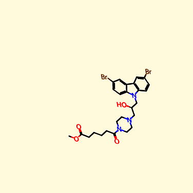 COC(=O)CCCCC(=O)N1CCN(C[C@@H](O)Cn2c3ccc(Br)cc3c3cc(Br)ccc32)CC1